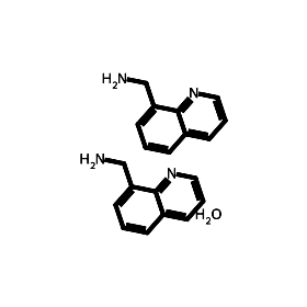 NCc1cccc2cccnc12.NCc1cccc2cccnc12.O